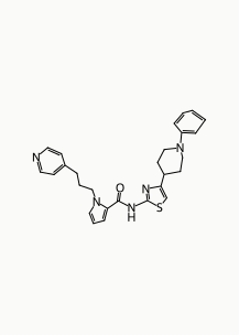 O=C(Nc1nc(C2CCN(c3ccccc3)CC2)cs1)c1cccn1CCCc1ccncc1